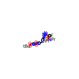 CC(C)N(C(=O)c1cc(F)ccc1Oc1nncnc1N1CC2(CCN(CC3CCN(S(=O)(=O)N4CCN(C(=O)OC(C)(C)C)CC4)CC3)CC2)C1)C(C)C